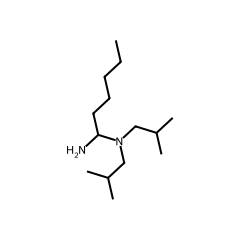 CCCCCC(N)N(CC(C)C)CC(C)C